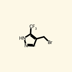 FC(F)(F)c1[nH]n[c]c1CBr